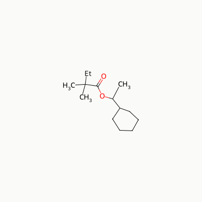 CCC(C)(C)C(=O)OC(C)C1CCCCC1